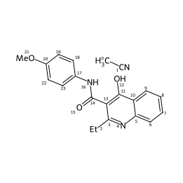 CC#N.CCc1nc2ccccc2c(O)c1C(=O)Nc1ccc(OC)cc1